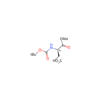 COC(=O)[C@@H](CS(=O)(=O)O)NC(=O)OC(C)(C)C